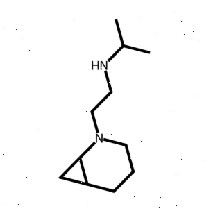 CC(C)NCCN1CCCC2CC21